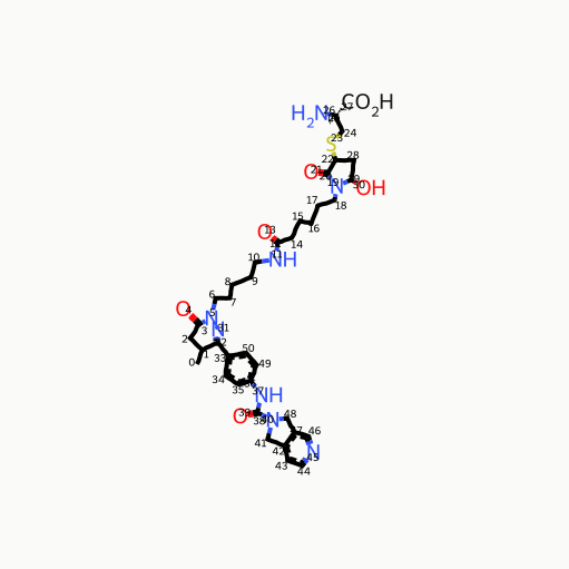 CC1CC(=O)N(CCCCCNC(=O)CCCCCN2C(=O)C(SC[C@H](N)C(=O)O)CC2O)N=C1c1ccc(NC(=O)N2Cc3ccncc3C2)cc1